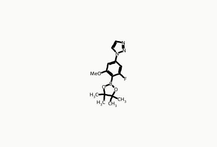 COc1cc(-n2ccnn2)cc(F)c1B1OC(C)(C)C(C)(C)O1